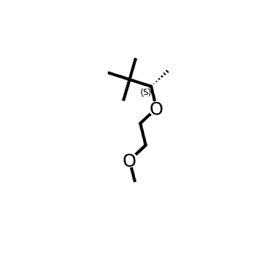 COCCO[C@@H](C)C(C)(C)C